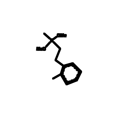 CO[Si](C)(CCc1ccccc1C)OC